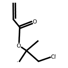 [CH2]C(C)(CCl)OC(=O)C=C